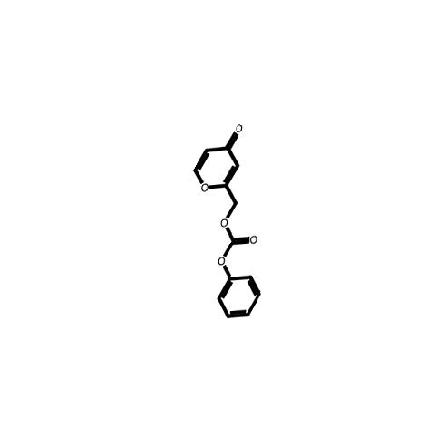 O=C(OCc1cc(=O)cco1)Oc1ccccc1